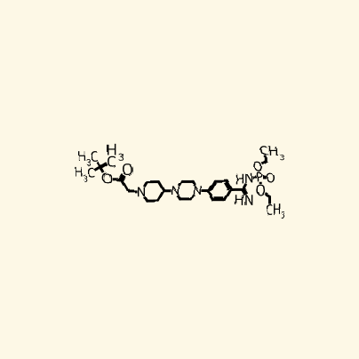 CCOP(=O)(NC(=N)c1ccc(N2CCN(C3CCN(CC(=O)OC(C)(C)C)CC3)CC2)cc1)OCC